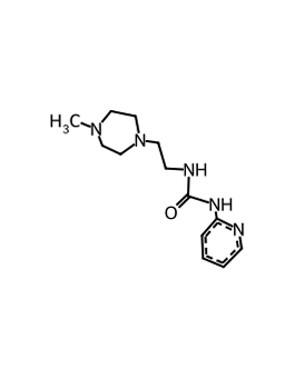 CN1CCN(CCNC(=O)Nc2ccccn2)CC1